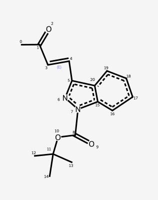 CC(=O)/C=C/c1nn(C(=O)OC(C)(C)C)c2ccccc12